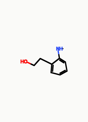 [NH]c1ccccc1CCO